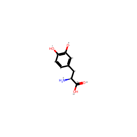 N[C@@H](Cc1ccc(O)c([O])c1)C(=O)O